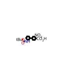 CC(C)(C)OC(=O)Nc1cccc(-c2ccc(C(=O)O)c([N+](=O)[O-])c2)c1